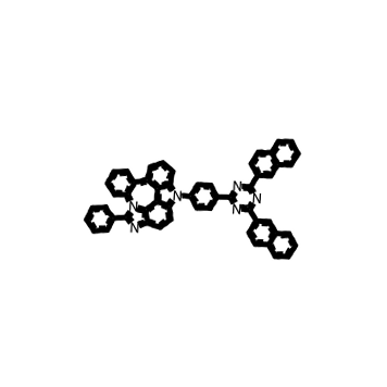 c1ccc(-c2nc3ccc4c5c6c(cccc6n4-c4ccc(-c6nc(-c7ccc8ccccc8c7)nc(-c7ccc8ccccc8c7)n6)cc4)c4ccccc4n2c35)cc1